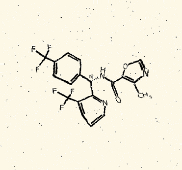 Cc1ncoc1C(=O)N[C@@H](c1ccc(C(F)(F)F)cc1)c1ncccc1C(F)(F)F